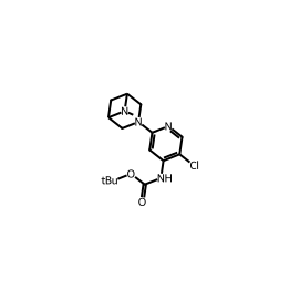 CN1C2CC1CN(c1cc(NC(=O)OC(C)(C)C)c(Cl)cn1)C2